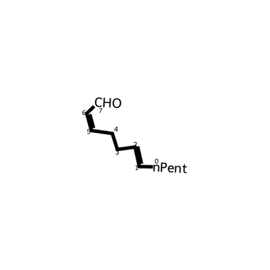 CCCCCC=CCC/C=C\C=O